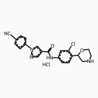 Cl.N#Cc1ccc(-n2cc(C(=O)Nc3ccc(C4CNCCO4)c(Cl)c3)cn2)cc1